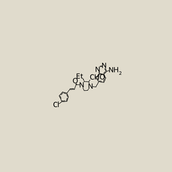 CC[C@H]1C(C=O)N(Cc2ccc3c(N)ncnc3c2)CCN1C(=O)C=Cc1ccc(Cl)cc1